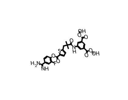 CC(C)(Cc1ccc(C(=O)Oc2ccc(C(=N)N)cc2F)s1)C(=O)Nc1cc(C(=O)OO)cc(C(=O)OO)c1